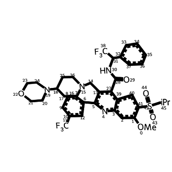 COc1cc2nc(-c3cccc(C(F)(F)F)c3)c(CN3CCC(N4CCOCC4)CC3)c(C(=O)NC(c3ccccc3)C(F)(F)F)c2cc1S(=O)(=O)C(C)C